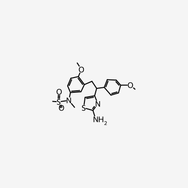 COc1ccc(C(Cc2cc(N(C)S(C)(=O)=O)ccc2OC)c2csc(N)n2)cc1